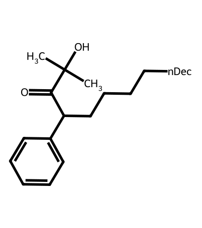 CCCCCCCCCCCCCCC(C(=O)C(C)(C)O)c1ccccc1